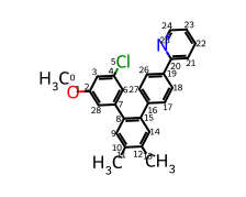 COc1cc(Cl)cc(-c2cc(C)c(C)cc2-c2ccc(-c3ccccn3)cc2)c1